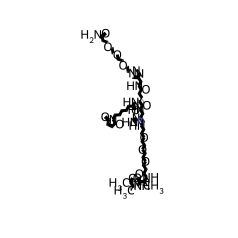 CC(=O)[C@H](C)NC(=O)[C@H](C)NC(=O)CCOCCOCCOCCN/C=C(/CNC(=O)[C@H](CCC(=O)NCc1cn(CCOCCOCCOCCC(N)=O)nn1)NC(=O)CCCCCN1C(=O)C=CC1=O)N=N